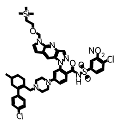 CC1CCC(CN2CCN(c3ccc(C(=O)NS(=O)(=O)c4ccc(Cl)c([N+](=O)[O-])c4)c(-n4ncc5nc6c(ccn6COCC[Si](C)(C)C)cc54)c3)CC2)=C(c2ccc(Cl)cc2)C1